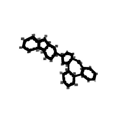 c1ccc2c(c1)Oc1ccc(-c3ccc4c(c3)sc3ccccc34)cc1-c1ccccc1-2